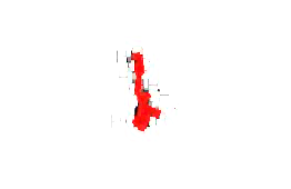 C#Cc1c(F)ccc2cc(O)cc(-c3ncc4c(N5CC6CCC(C5)N6)nc(OC[C@@]56CC[C@@H](COC(=O)NCCNc7ccc8c(c7)C(=O)N(C7CCC(=O)NC7=O)C8=O)N5CC(=C)C6)nc4c3F)c12